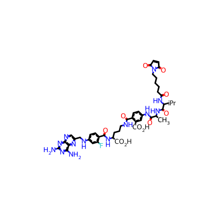 CC(NC(=O)C(NC(=O)CCCCCN1C(=O)C=CC1=O)C(C)C)C(=O)Nc1ccc(C(=O)NCCCC(NC(=O)c2ccc(NCc3cnc4nc(N)nc(N)c4n3)cc2F)C(=O)O)c(C(=O)O)c1